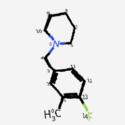 Cc1cc(CN2CCCCC2)ccc1F